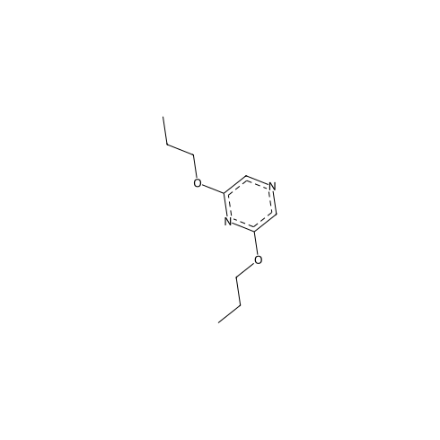 CCCOc1cncc(OCCC)n1